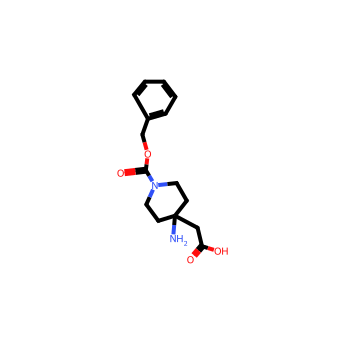 NC1(CC(=O)O)CCN(C(=O)OCc2ccccc2)CC1